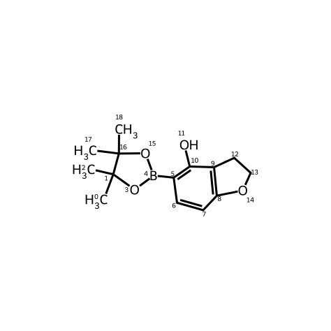 CC1(C)OB(c2ccc3c(c2O)CCO3)OC1(C)C